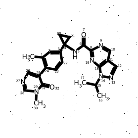 Cc1cc(C2(NC(=O)c3ncc4cnn(C(C)C)c4n3)CC2)ccc1-c1cncn(C)c1=O